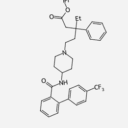 CCC(CCN1CCC(NC(=O)c2ccccc2-c2ccc(C(F)(F)F)cc2)CC1)(CC(=O)OC(C)C)c1ccccc1